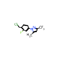 Cc1cc(C(F)(F)F)nn1-c1ccc(CCl)c(F)c1